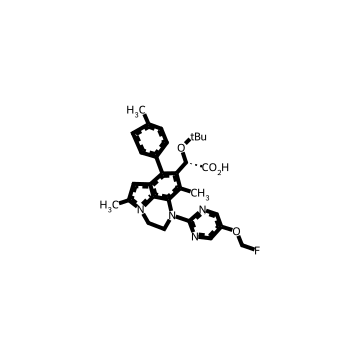 Cc1ccc(-c2c([C@H](OC(C)(C)C)C(=O)O)c(C)c3c4c2cc(C)n4CCN3c2ncc(OCF)cn2)cc1